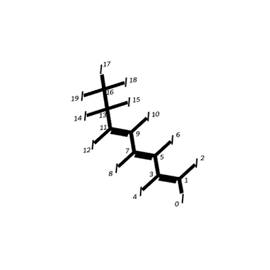 IC(I)=C(I)C(I)=C(I)C(I)=C(I)C(I)(I)C(I)(I)I